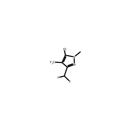 [CH2]Cc1c(C(F)(F)F)c(C(F)F)nn1C